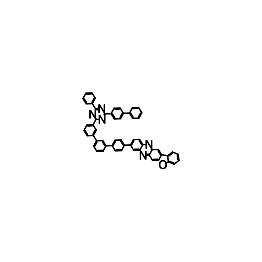 c1ccc(-c2ccc(-c3nc(-c4ccccc4)nc(-c4cccc(-c5cccc(-c6ccc(-c7ccc8nc9cc%10c(cc9nc8c7)oc7ccccc7%10)cc6)c5)c4)n3)cc2)cc1